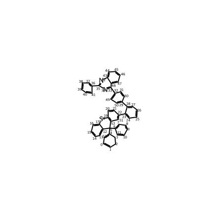 C1=CCCC(C2(c3ccccc3)c3ccccc3Sc3ccc(-c4ccccc4-c4ccc(-c5nc(-c6ccccc6)nc6ccccc56)cc4)cc32)=C1